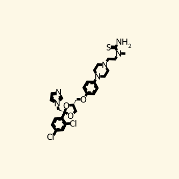 CN(CCN1CCN(c2ccc(OC[C@@H]3CO[C@@](Cn4ccnc4)(c4ccc(Cl)cc4Cl)O3)cc2)CC1)C(N)=S